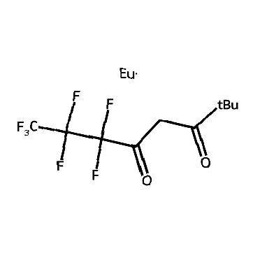 CC(C)(C)C(=O)CC(=O)C(F)(F)C(F)(F)C(F)(F)F.[Eu]